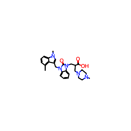 Cc1cccc2c1c(Cn1c(=O)n(CC(CN3CCN(C)CC3)C(=O)O)c3ccccc31)cn2C